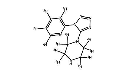 [2H]c1nc(-n2nnnc2N2C([2H])([2H])C([2H])([2H])NC([2H])([2H])C2([2H])[2H])c([2H])c([2H])c1[2H]